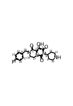 O=C1c2c(O)c(=O)n(C3CCNCC3)c(=O)n2CCN1Cc1ccc(F)cc1